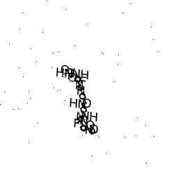 O=C1CC[C@H](Nc2ccc(N3CCN([C@H]4CC[C@H](C(=O)NC5CCC(Nc6ncc(F)c(-c7cccc(N8CCCOC8=O)c7)n6)CC5)CC4)CC3)c(F)c2)C(=O)N1